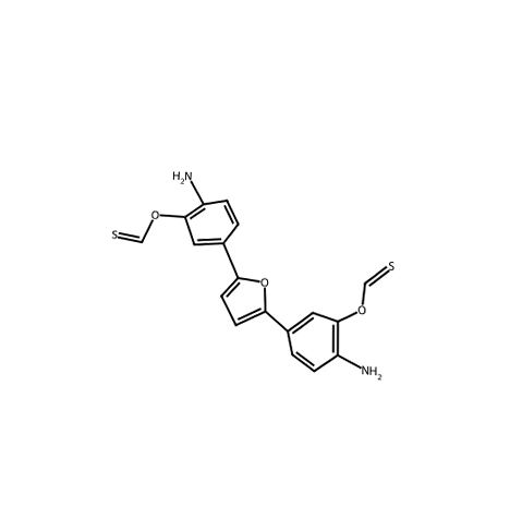 Nc1ccc(-c2ccc(-c3ccc(N)c(OC=S)c3)o2)cc1OC=S